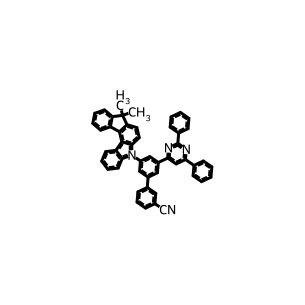 CC1(C)c2ccccc2-c2c1ccc1c2c2ccccc2n1-c1cc(-c2cccc(C#N)c2)cc(-c2cc(-c3ccccc3)nc(-c3ccccc3)n2)c1